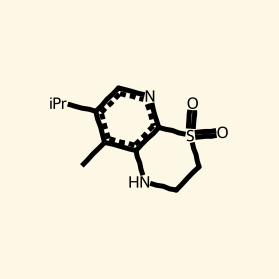 Cc1c(C(C)C)cnc2c1NCCS2(=O)=O